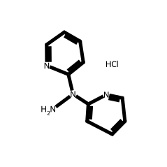 Cl.NN(c1ccccn1)c1ccccn1